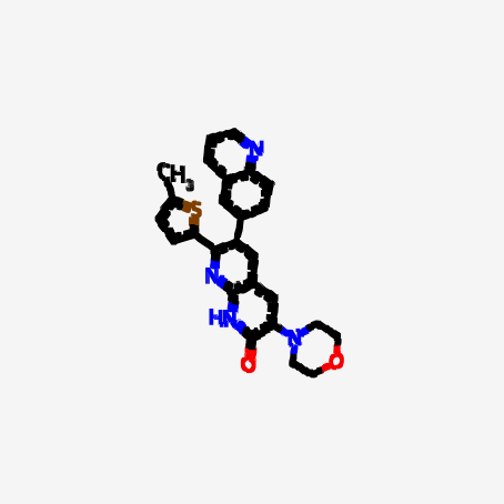 Cc1ccc(-c2nc3[nH]c(=O)c(N4CCOCC4)cc3cc2-c2ccc3ncccc3c2)s1